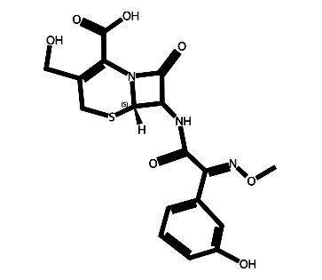 CON=C(C(=O)NC1C(=O)N2C(C(=O)O)=C(CO)CS[C@@H]12)c1cccc(O)c1